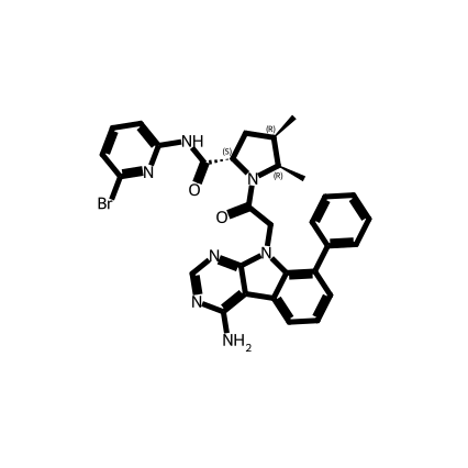 C[C@@H]1C[C@@H](C(=O)Nc2cccc(Br)n2)N(C(=O)Cn2c3ncnc(N)c3c3cccc(-c4ccccc4)c32)[C@@H]1C